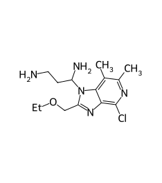 CCOCc1nc2c(Cl)nc(C)c(C)c2n1C(N)CCN